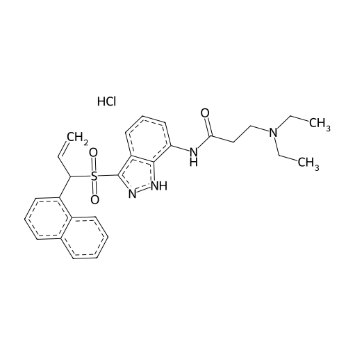 C=CC(c1cccc2ccccc12)S(=O)(=O)c1n[nH]c2c(NC(=O)CCN(CC)CC)cccc12.Cl